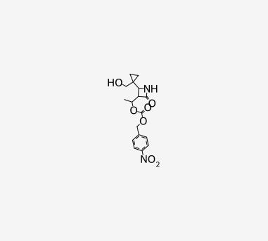 CC(OC(=O)OCc1ccc([N+](=O)[O-])cc1)C1C(=O)NC1C1(CO)CC1